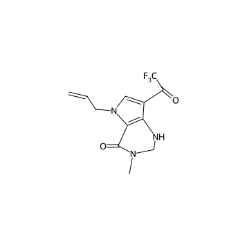 C=CCn1cc(C(=O)C(F)(F)F)c2c1C(=O)N(C)CN2